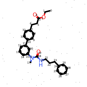 CCOC(=O)CCc1ccc(-c2cccc(N(C)C(=O)NCCCc3ccccc3)c2)cc1